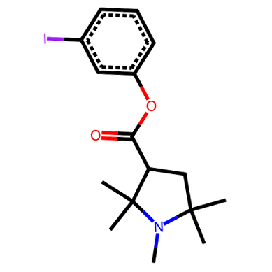 CN1C(C)(C)CC(C(=O)Oc2cccc(I)c2)C1(C)C